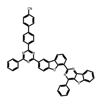 N#Cc1ccc(-c2ccc(-c3nc(-c4ccccc4)nc(-c4ccc5oc6c(-c7nc(-c8ccccc8)c8sc9ccccc9c8n7)cccc6c5c4)n3)cc2)cc1